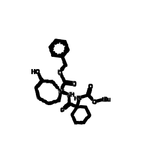 CC(C)(C)OC(=O)NC1(C(=O)N[N+]2(C(=O)OCc3ccccc3)CCCCC(O)C2)CCCCC1